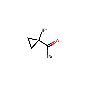 CC(C)C1(C(=O)C(C)(C)C)CC1